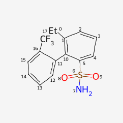 CCc1cccc(S(N)(=O)=O)c1-c1ccccc1C(F)(F)F